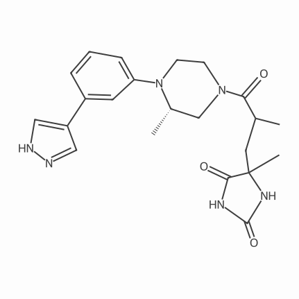 CC(CC1(C)NC(=O)NC1=O)C(=O)N1CCN(c2cccc(-c3cn[nH]c3)c2)[C@@H](C)C1